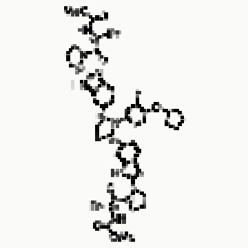 COC(=O)N[C@H](C(=O)N1CCCC1c1nc2ccc([C@H]3CC[C@H](c4ccc5nc([C@@H]6CCCN6C(=O)[C@@H](NC(=O)OC)C(C)C)[nH]c5c4)N3c3ccc(OC4CCCC4)c(F)c3)cc2[nH]1)C(C)C